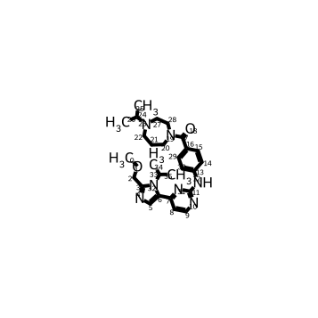 COCc1ncc(-c2ccnc(Nc3ccc(C(=O)N4CCCN(C(C)C)CC4)cc3)n2)n1C(C)C